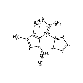 CC1=CC(C)[C]([Zr+2]([C]2=CC=CC2)=[Si](C)C)=C1C.[Cl-].[Cl-]